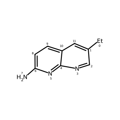 CCc1cnc2nc(N)ccc2c1